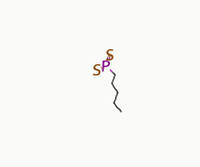 CCCCCP(=S)=S